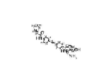 NC[C@H](NC(=O)c1ccc(C#Cc2ccc(NC(=O)CN3CCOCC3)cc2)cc1)C(=O)NO